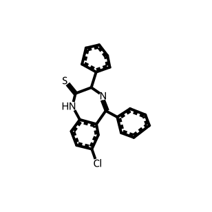 S=C1Nc2ccc(Cl)cc2C(c2ccccc2)=NC1c1ccccc1